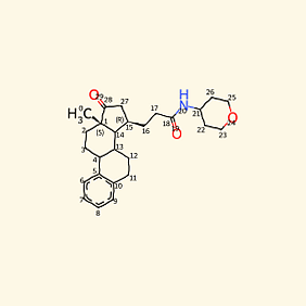 C[C@]12CCC3c4ccccc4CCC3C1[C@H](CCC(=O)NC1CCOCC1)CC2=O